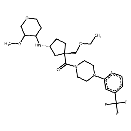 CCOC[C@]1(C(=O)N2CCN(c3cc(C(F)(F)F)ccn3)CC2)CC[C@@H](NC2CCOCC2OC)C1